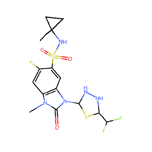 Cn1c(=O)n(C2NNC(C(F)F)S2)c2cc(S(=O)(=O)NC3(C)CC3)c(F)cc21